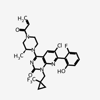 C=CC(=O)N1CCN(c2nc(=O)n(CC3(C(F)(F)F)CC3)c3nc(-c4c(O)cccc4F)c(Cl)cc23)[C@@H](C)C1